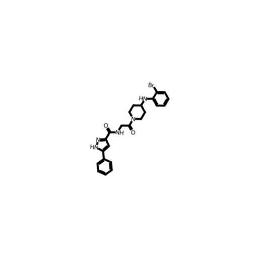 O=C(NCC(=O)N1CCC(Nc2ccccc2Br)CC1)c1cc(-c2ccccc2)[nH]n1